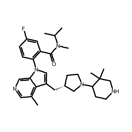 Cc1cncc2c1c(C[C@@H]1CCN(C3CCNCC3(C)C)C1)cn2-c1ccc(F)cc1C(=O)N(C)C(C)C